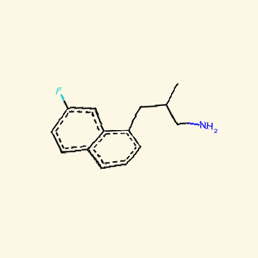 CC(CN)Cc1cccc2ccc(F)cc12